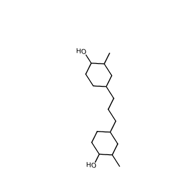 CC1CC(CCCC2CCC(O)C(C)C2)CCC1O